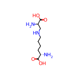 NC(CNCCCC[C@H](N)C(=O)O)C(=O)O